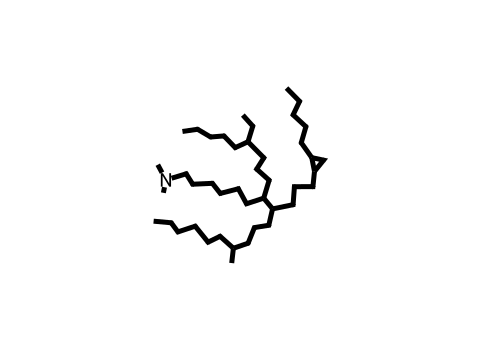 CCCCCCC(C)CCCC(CCCC1CC1CCCCC)C(CCCCCCN(C)C)CCCC(CC)CCCCC